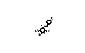 Cc1cc(NCc2ccc(F)cc2)c(O)cc1Br